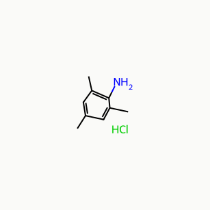 Cc1cc(C)c(N)c(C)c1.Cl